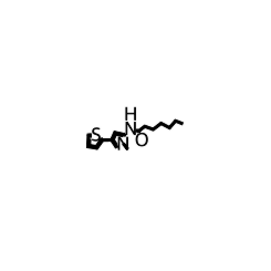 CCCCCCC(=O)Nc1cc(-c2cccs2)cn1C